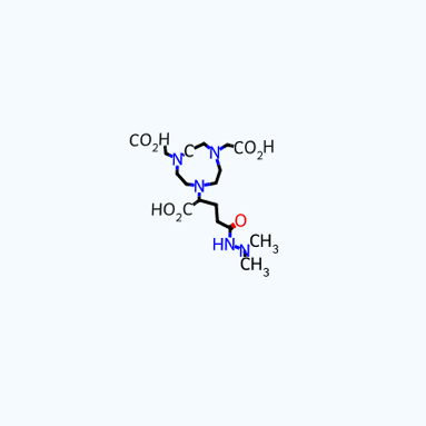 CN(C)NC(=O)CCC(C(=O)O)N1CCN(CC(=O)O)CCN(CC(=O)O)CC1